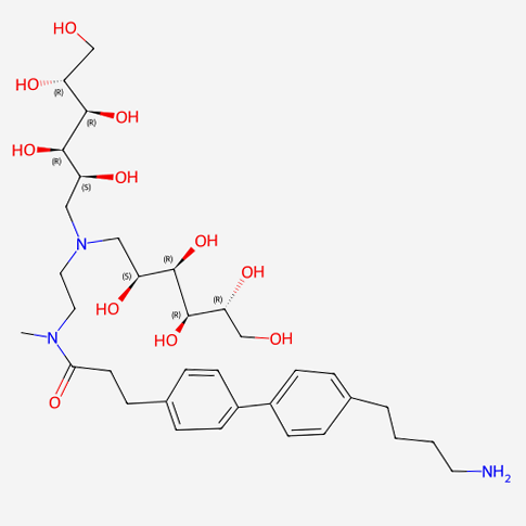 CN(CCN(C[C@H](O)[C@@H](O)[C@H](O)[C@H](O)CO)C[C@H](O)[C@@H](O)[C@H](O)[C@H](O)CO)C(=O)CCc1ccc(-c2ccc(CCCCN)cc2)cc1